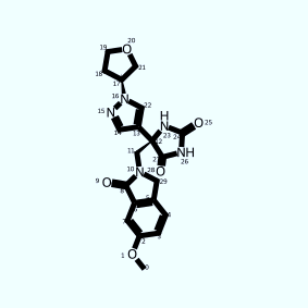 COc1ccc2c(c1)C(=O)N(C[C@@]1(c3cnn([C@H]4CCOC4)c3)NC(=O)NC1=O)C2